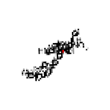 COc1cc(CN2CCN(C3CC4(CCN(c5ccc(C(=O)NS(=O)(=O)c6cc([N+](=O)[O-])c(NCC7CCOCC7)cn6)c(N6c7cc8cc[nH]c8nc7O[C@H]7COCC[C@@H]76)c5)CC4)C3C)[C@@H](c3ccccc3OC(C)C)C2)cnc1N1CCOCC1